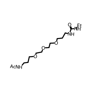 CCNC(=O)NCCCOCCOCCOCCCNC(C)=O